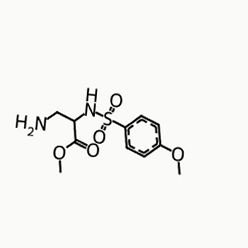 COC(=O)C(CN)NS(=O)(=O)c1ccc(OC)cc1